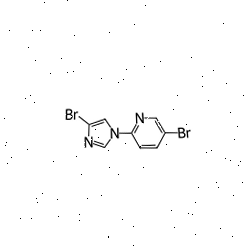 Brc1ccc(-n2cnc(Br)c2)nc1